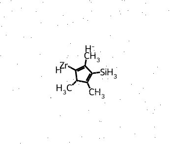 CC1=[C]([Zr])C(C)C(C)=C1[SiH3].[H-].[H-]